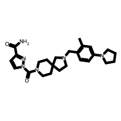 Cc1cc(N2CCCC2)ccc1CN1CCC2(CCN(C(=O)n3ccc(C(N)=O)n3)CC2)C1